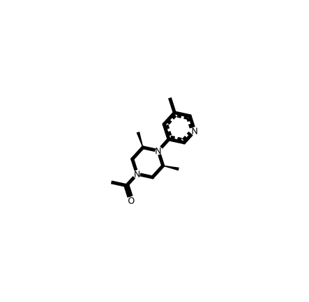 CC(=O)N1C[C@@H](C)N(c2cncc(C)c2)[C@@H](C)C1